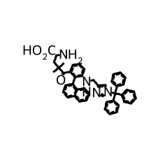 CC(C)(C[C@H](N)C(=O)O)C(=O)c1cccc(NCc2cn(C(c3ccccc3)(c3ccccc3)c3ccccc3)cn2)c1-c1cccc2ccccc12